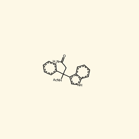 CC(=O)NC(CC(N)=O)(c1ccccc1)c1c[nH]c2ccccc12